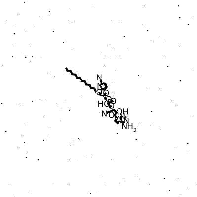 CCCCCCCCCCCCCCOC[C@H](COP(=O)(O)OC[C@]1(C#N)C[C@@H](O)C(c2ccc3c(N)ncnn23)O1)Oc1ccc(C#N)nc1